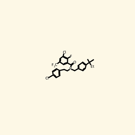 CCC(C)(C)c1ccc(CN(CCc2ccc(Cl)cc2)C(=O)c2cc(C(F)(F)F)cc(Cl)c2F)cc1